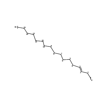 ICC=CCCCCCCCCCCCCI